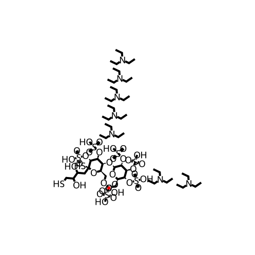 CCN(CC)CC.CCN(CC)CC.CCN(CC)CC.CCN(CC)CC.CCN(CC)CC.CCN(CC)CC.CCN(CC)CC.O=S(=O)(O)OC[C@H]1O[C@H](O[C@H]2[C@H](OS(=O)(=O)O)[C@@H](OS(=O)(=O)O)[C@@](S)(CC(O)C(O)CS)O[C@@H]2COS(=O)(=O)O)[C@H](OS(=O)(=O)O)[C@@H](OS(=O)(=O)O)[C@@H]1OS(=O)(=O)O